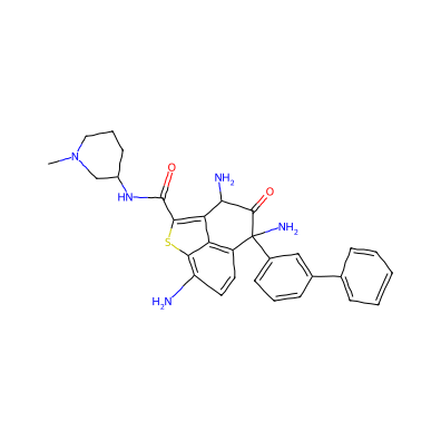 CN1CCCC(NC(=O)c2sc3c(N)ccc4c3c2C(N)C(=O)C4(N)c2cccc(-c3ccccc3)c2)C1